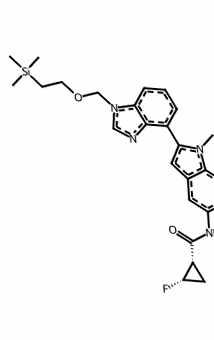 Cn1c(-c2cccc3c2ncn3COCC[Si](C)(C)C)cc2cc(NC(=O)[C@@H]3C[C@@H]3F)ncc21